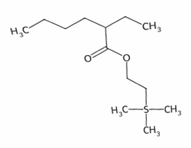 CCCCC(CC)C(=O)OCCS(C)(C)C